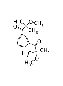 COC(C)(C)C(=O)c1cccc(C(=O)C(C)(C)OC)c1